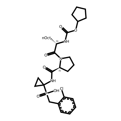 CCCCCCCC[C@H](NC(=O)OC1CCCC1)C(=O)N1CCC[C@H]1C(=O)NC1(P(=O)(O)Cc2ccccc2Cl)CC1